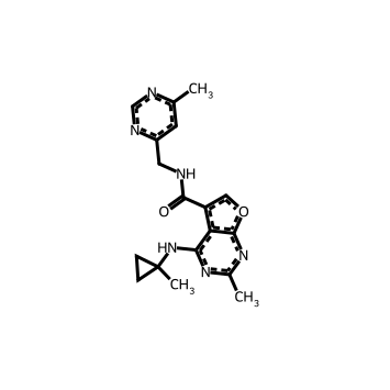 Cc1cc(CNC(=O)c2coc3nc(C)nc(NC4(C)CC4)c23)ncn1